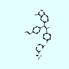 CC/C(=C(/c1ccc(/C=C/C(=O)O)cc1)c1ccc2[nH]nc(F)c2c1)c1ccc(Oc2cncc(S(C)(=O)=O)n2)cc1